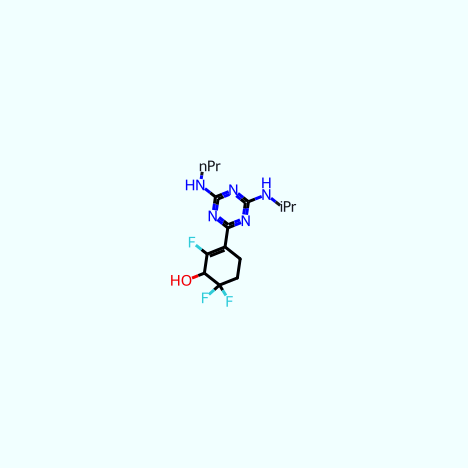 CCCNc1nc(NC(C)C)nc(C2=C(F)C(O)C(F)(F)CC2)n1